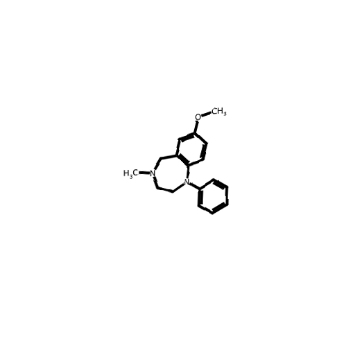 COc1ccc2c(c1)CN(C)CCN2c1ccccc1